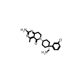 Cc1nc(N)nc2c1C(=O)N([C@H]1CC[C@](CN)(c3cccc(Cl)c3)CC1)CC2